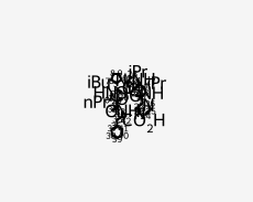 CCCC(NC(=O)[C@@H]1[C@@H](C(C)CC)CCN1C(=O)[C@@H](NC(=O)[C@@H](NC(=O)c1cnccn1)C(C)C)C(C)C)C(=O)C(=O)N[C@@H](Cc1ccccc1)C(=O)O